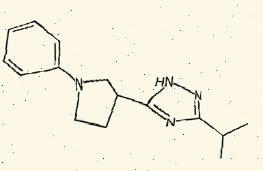 CC(C)c1n[nH]c(C2CCN(c3ccccc3)C2)n1